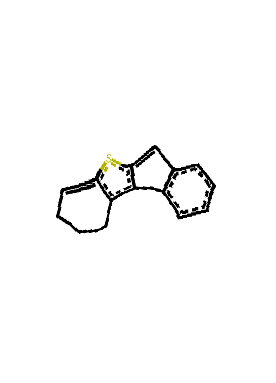 C1=c2sc3c(c2CCC1)-c1ccccc1C=3